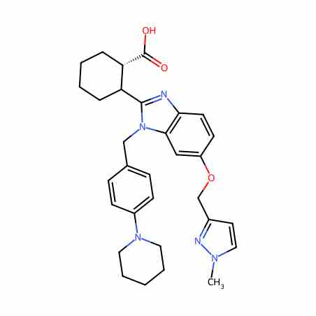 Cn1ccc(COc2ccc3nc(C4CCCC[C@@H]4C(=O)O)n(Cc4ccc(N5CCCCC5)cc4)c3c2)n1